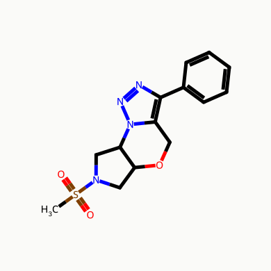 CS(=O)(=O)N1CC2OCc3c(-c4ccccc4)nnn3C2C1